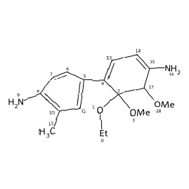 CCOC1(OC)C(c2ccc(N)c(C)c2)=CC=C(N)C1OC